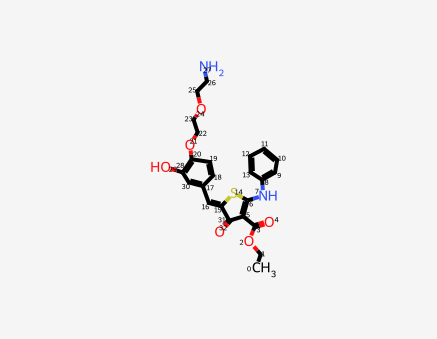 CCOC(=O)C1=C(Nc2ccccc2)S/C(=C\c2ccc(OCCOCCN)c(O)c2)C1=O